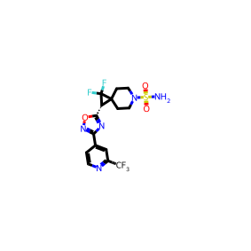 NS(=O)(=O)N1CCC2(CC1)[C@H](c1nc(-c3ccnc(C(F)(F)F)c3)no1)C2(F)F